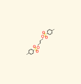 Cc1ccc(S(=O)(=O)OCC=CCOS(=O)(=O)c2ccc(C)cc2)cc1